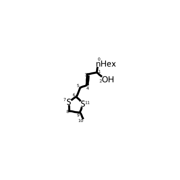 CCCCCCC(O)C=CCC1SCC(C)S1